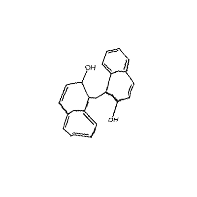 OC1C=Cc2ccccc2C1C1c2ccccc2C=CC1O